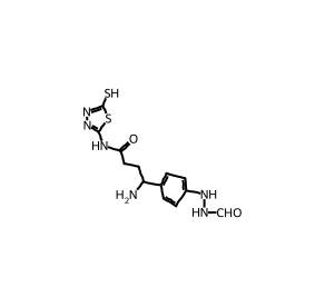 NC(CCC(=O)Nc1nnc(S)s1)c1ccc(NNC=O)cc1